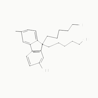 CCCCCCC1(CCCCCC)c2ccc(I)cc2-c2ccc(C)cc21